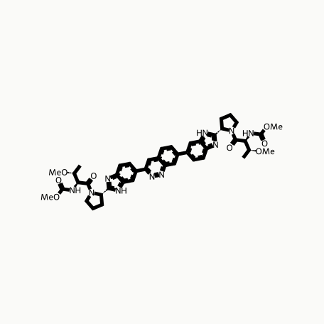 COC(=O)N[C@H](C(=O)N1CCC[C@H]1c1nc2ccc(-c3ccc4cc(-c5ccc6nc([C@@H]7CCCN7C(=O)[C@@H](NC(=O)OC)[C@@H](C)OC)[nH]c6c5)nnc4c3)cc2[nH]1)[C@@H](C)OC